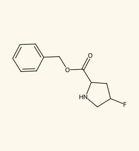 O=C(OCc1ccccc1)C1CC(F)CN1